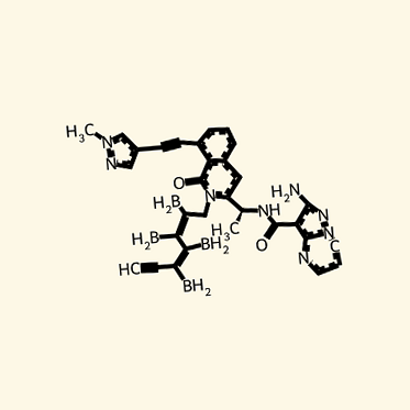 B/C(C#C)=C(B)/C(B)=C(/B)Cn1c([C@H](C)NC(=O)c2c(N)nn3cccnc23)cc2cccc(C#Cc3cnn(C)c3)c2c1=O